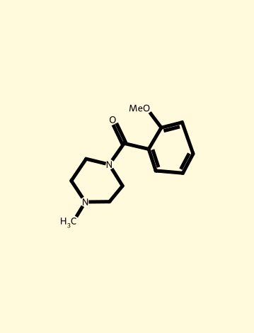 COc1ccccc1C(=O)N1CCN(C)CC1